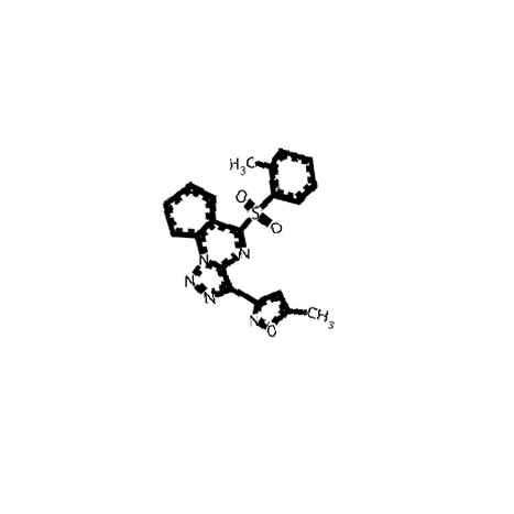 Cc1cc(-c2nnn3c2nc(S(=O)(=O)c2ccccc2C)c2ccccc23)no1